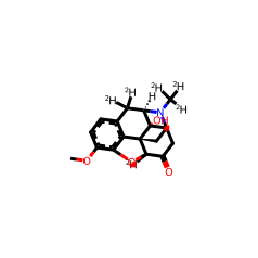 [2H]C1([2H])c2ccc(OC)c3c2[C@]24CCN(C([2H])([2H])[2H])[C@H]1[C@]2(O)CCC(=O)C4([2H])O3